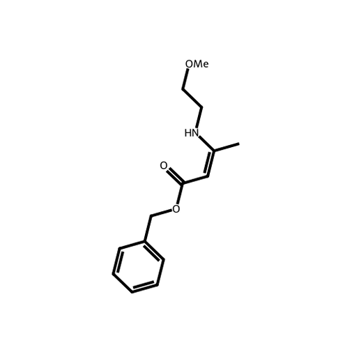 COCCNC(C)=CC(=O)OCc1ccccc1